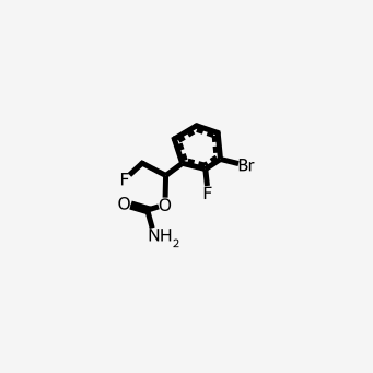 NC(=O)OC(CF)c1cccc(Br)c1F